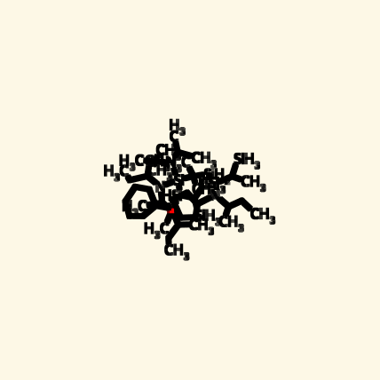 CCC(C)N(C1CCCC1)[SiH]([SiH2]C(C)(C)[Si](N(C(C)CC)C(C)CC)(N(C(C)C)C(C)(C)C)[SiH](C(C)[SiH3])N(C(C)CC)C1CCCCC1)C(C)[SiH3]